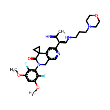 COc1cc(OC)c(F)c(N2Cc3cnc(/C(=C/NCCCN4CCOCC4)C(C)=N)cc3C3(CC3)C2=O)c1F